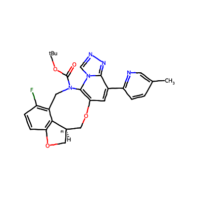 Cc1ccc(-c2cc3c(n4cnnc24)N(C(=O)OC(C)(C)C)Cc2c(F)ccc4c2[C@H](CO4)CO3)nc1